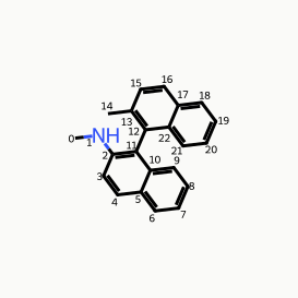 CNc1ccc2ccccc2c1-c1c(C)ccc2ccccc12